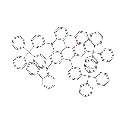 c1ccc(-c2cccc3c2B2c4ccc([Si](c5ccccc5)(c5ccccc5)c5ccccc5)cc4N(c4cccc([Si](c5ccccc5)(c5ccccc5)c5ccccc5)c4)c4cc(-n5c6ccccc6c6ccccc65)cc(c42)N3c2cccc([Si](c3ccccc3)(c3ccccc3)c3ccccc3)c2)cc1